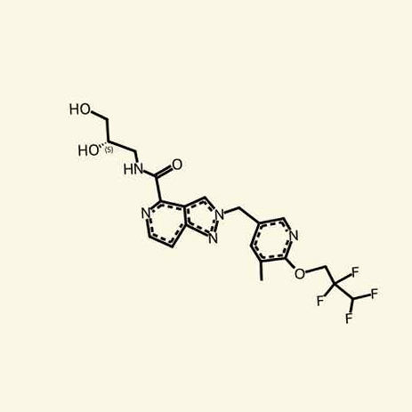 Cc1cc(Cn2cc3c(C(=O)NC[C@H](O)CO)nccc3n2)cnc1OCC(F)(F)C(F)F